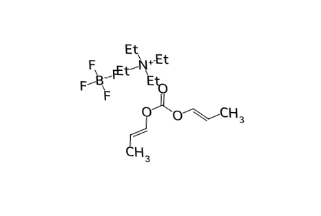 CC=COC(=O)OC=CC.CC[N+](CC)(CC)CC.F[B-](F)(F)F